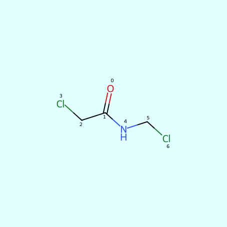 O=C(CCl)NCCl